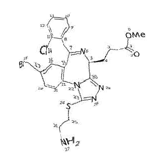 COC(=O)CC[C@@H]1N=C(c2ccccc2Cl)c2cc(Br)ccc2-n2c(SCCN)nnc21